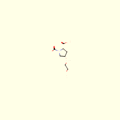 COCCO[C@@H]1C[C@@H](C(=O)O)N(C(=O)O)C1